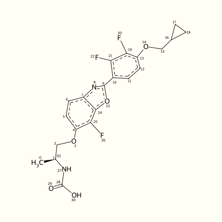 C[C@@H](COc1ccc2nc(-c3ccc(OCC4CC4)c(F)c3F)oc2c1F)NC(=O)O